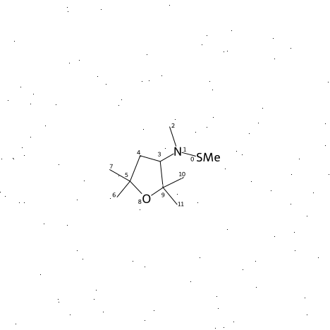 CSN(C)C1CC(C)(C)OC1(C)C